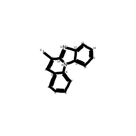 Ic1cc2ccccc2n2c1nc1ccccc12